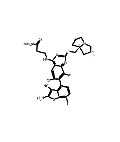 COC(=O)CCNc1nc(OC[C@@]23CCCN2C[C@H](F)C3)nc2c(F)c(-c3ccc(F)c4sc(N)c(C#N)c34)c(Cl)cc12